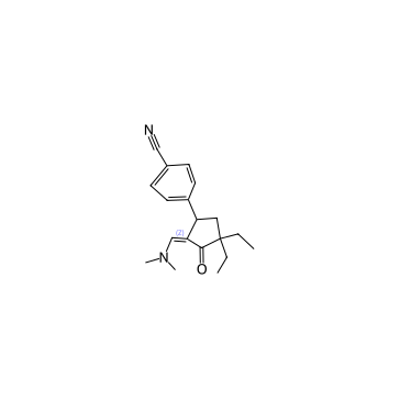 CCC1(CC)CC(c2ccc(C#N)cc2)/C(=C/N(C)C)C1=O